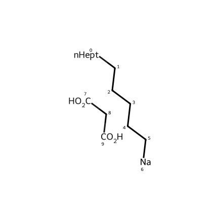 CCCCCCCCCCC[CH2][Na].O=C(O)CC(=O)O